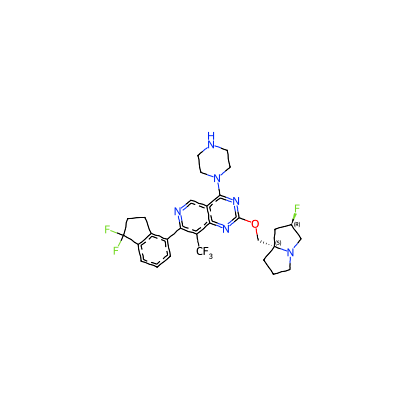 F[C@H]1CN2CCC[C@@]2(COc2nc(N3CCNCC3)c3cnc(-c4cccc5c4CCC5(F)F)c(C(F)(F)F)c3n2)C1